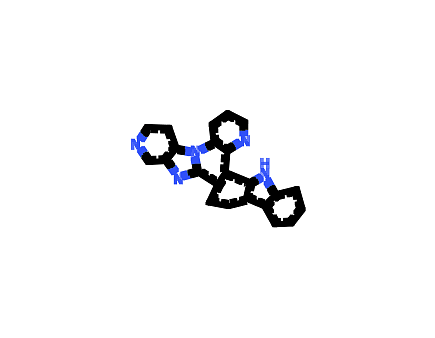 c1ccc2c(c1)[nH]c1c2ccc2c1c1ncccc1n1c3ccncc3nc21